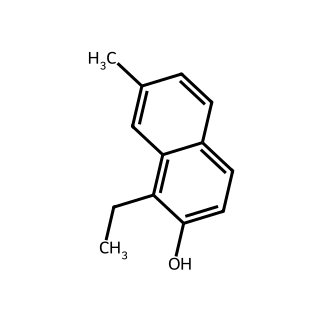 CCc1c(O)ccc2ccc(C)cc12